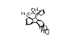 C[C](C)=[Zr]([C]1=CC=CC1)[CH]1c2ccccc2-c2ccccc21.Cl.Cl